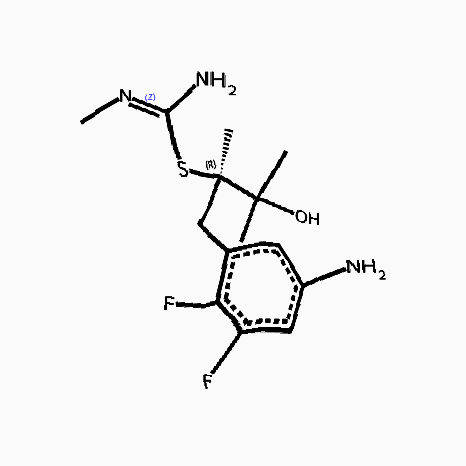 C/N=C(/N)S[C@](C)(Cc1cc(N)cc(F)c1F)C(C)(C)O